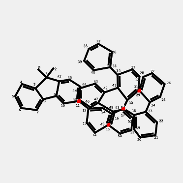 CC1(C)c2ccccc2-c2cc(-c3cccc(N(c4ccccc4-c4ccccc4)c4cccc(-c5ccccc5)c4-c4ccccc4-c4ccccc4)c3)ccc21